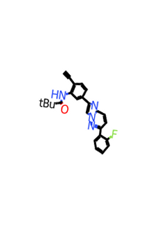 C#Cc1ccc(-c2cn3nc(-c4ccccc4F)ccc3n2)cc1NC(=O)C(C)(C)C